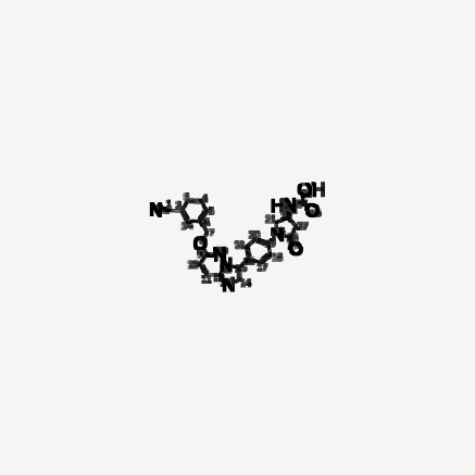 N#Cc1cccc(COc2ccc3ncc(-c4ccc(N5C[C@@H](NC(=O)O)CC5=O)cc4)n3n2)c1